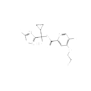 Cc1nc(C(C)(NC(=O)c2cc(OCCF)c(Cl)cn2)C2CC2)no1